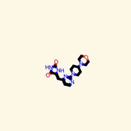 O=C1NC(=O)C(=Cc2ccnc(N3CCC(N4CCOCC4)CC3)n2)N1